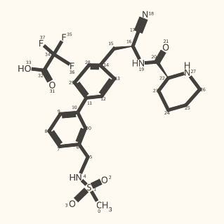 CS(=O)(=O)NCc1cccc(-c2ccc(C[C@@H](C#N)NC(=O)[C@@H]3CCCCN3)cc2)c1.O=C(O)C(F)(F)F